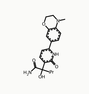 CC(C)C(O)(C(N)=O)c1ccc(-c2ccc3c(c2)OCCN3C)[nH]c1=O